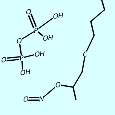 CCCCCCC(C)ON=O.O=P(O)(O)OP(=O)(O)O